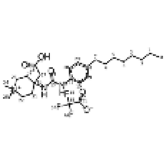 CCCCCCCCc1ccc(NC(=O)NC2(CC(=O)O)CC[N+](C)(C)CC2)cc1.O=C([O-])C(F)(F)F